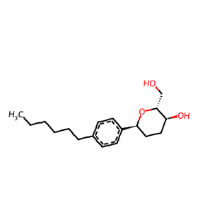 CCCCCCc1ccc([C@@H]2CC[C@H](O)[C@@H](CO)O2)cc1